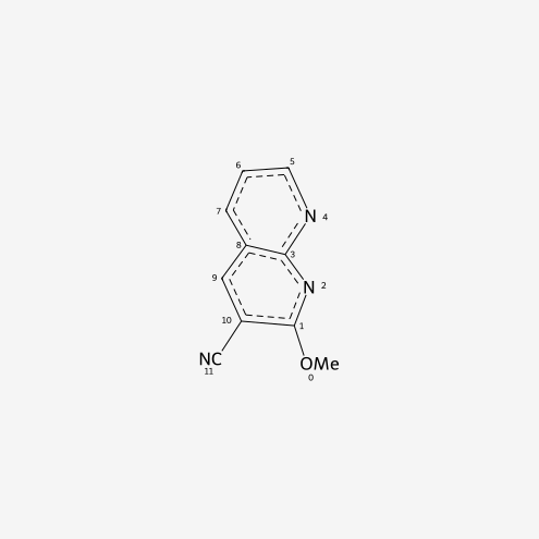 COc1nc2ncccc2cc1C#N